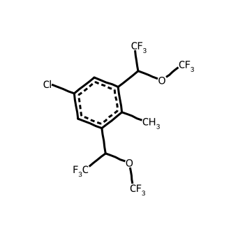 Cc1c(C(OC(F)(F)F)C(F)(F)F)cc(Cl)cc1C(OC(F)(F)F)C(F)(F)F